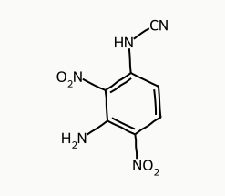 N#CNc1ccc([N+](=O)[O-])c(N)c1[N+](=O)[O-]